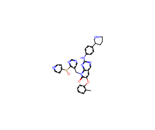 Cc1ccccc1Oc1cc2cnc(Nc3ccc(C4CCCNC4)cc3)nc2n(Cc2cncnc2[S+]([O-])c2ccncc2)c1=O